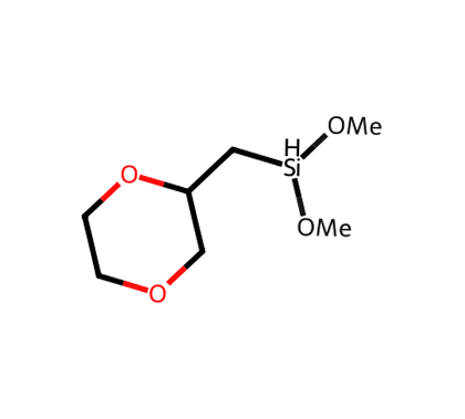 CO[SiH](CC1COCCO1)OC